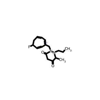 CCCN1C(C)C(=O)CC(=O)N1C/C1=C/C=CCC(F)C=C1